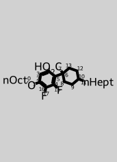 CCCCCCCCOc1ccc(C2(C(=O)O)CCC(CCCCCCC)CC2)c(F)c1F